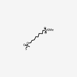 CSS(=O)(=O)CCCCCCCCOS(C)(=O)=S